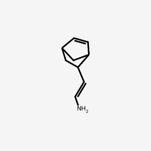 N/C=C/C1CC2C=CC1C2